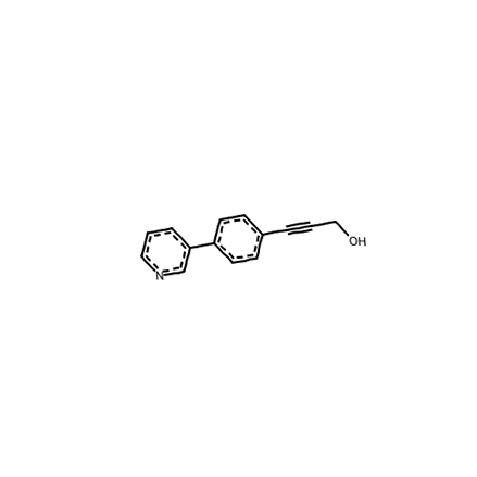 OCC#Cc1ccc(-c2cccnc2)cc1